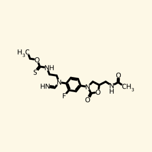 CCOC(=S)NCCN(C=N)c1ccc(N2CC(CNC(C)=O)OC2=O)cc1F